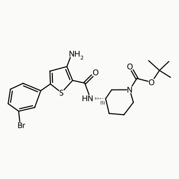 CC(C)(C)OC(=O)N1CCC[C@H](NC(=O)c2sc(-c3cccc(Br)c3)cc2N)C1